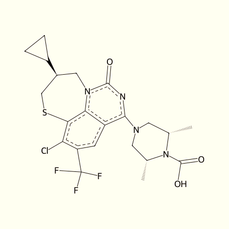 C[C@@H]1CN(c2nc(=O)n3c4c(c(Cl)c(C(F)(F)F)cc24)SC[C@@H](C2CC2)C3)C[C@H](C)N1C(=O)O